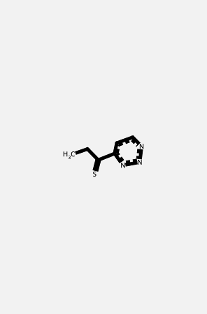 CCC(=S)c1ccnnn1